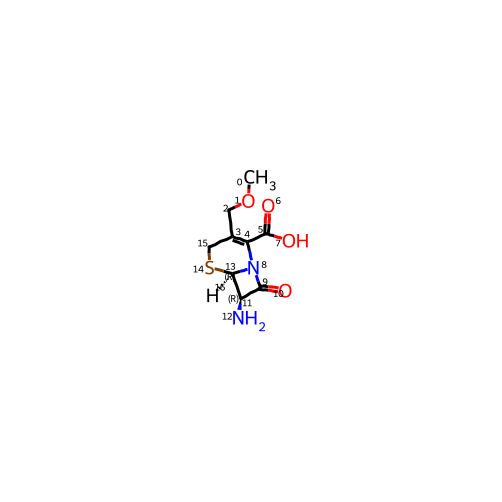 COCC1=C(C(=O)O)N2C(=O)[C@@H](N)[C@H]2SC1